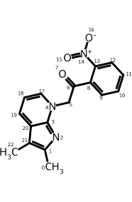 Cc1nc2n(CC(=O)c3ccccc3[N+](=O)[O-])cccc-2c1C